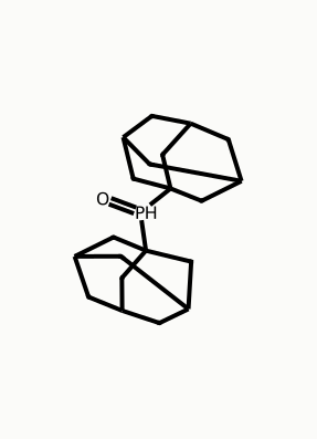 O=[PH](C12CC3CC(CC(C3)C1)C2)C12CC3CC(CC(C3)C1)C2